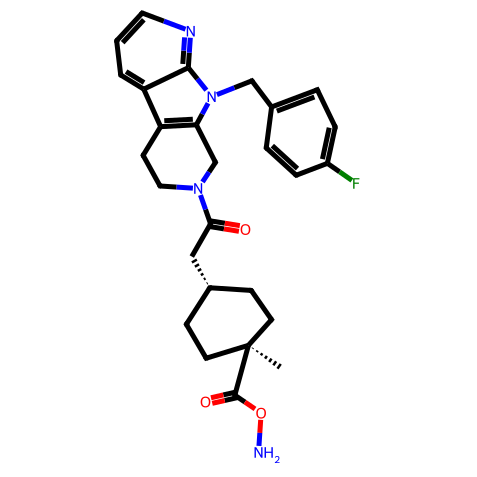 C[C@]1(C(=O)ON)CC[C@H](CC(=O)N2CCc3c(n(Cc4ccc(F)cc4)c4ncccc34)C2)CC1